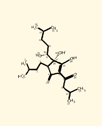 CC(C)CCC1C(=O)C(C(=O)CC(C)C)=C(O)[C@]1(O)[C@H](O)CCC(C)C